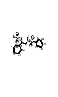 CN(CC(OS(C)(=O)=O)c1ccccc1)S(=O)(=O)c1ccccc1